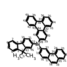 CC1(C)c2ccccc2-c2ccc(N(c3ccc4ccc5ccccc5c4c3)c3ccc4c5ccccc5c5ccccc5c4c3)cc21